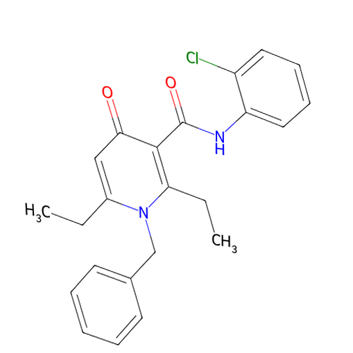 CCc1cc(=O)c(C(=O)Nc2ccccc2Cl)c(CC)n1Cc1ccccc1